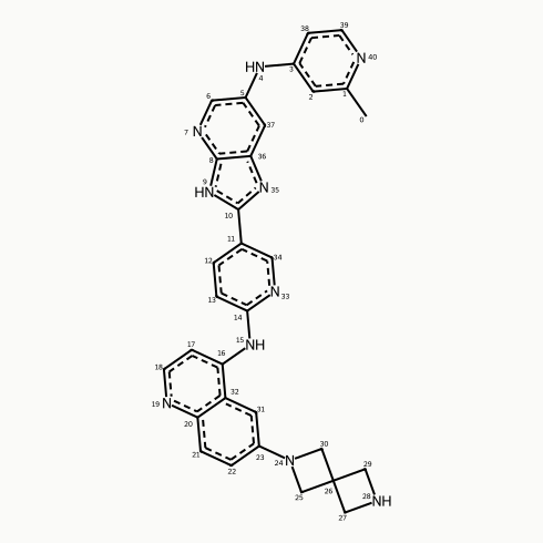 Cc1cc(Nc2cnc3[nH]c(-c4ccc(Nc5ccnc6ccc(N7CC8(CNC8)C7)cc56)nc4)nc3c2)ccn1